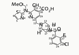 COCN(c1nccs1)c1nc(CN2C[C@@H]3C[C@H]2CN3C(=O)c2cccc(Cl)c2F)cc(C(=O)O)c1C